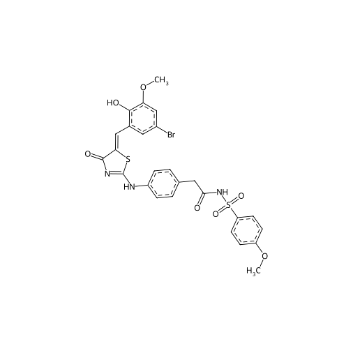 COc1ccc(S(=O)(=O)NC(=O)Cc2ccc(NC3=NC(=O)/C(=C/c4cc(Br)cc(OC)c4O)S3)cc2)cc1